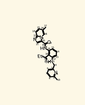 CCc1nn(Cc2cccc(C)n2)c2cccc(NC(=O)c3cnc4ccc(C)cn34)c12